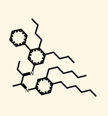 CCCCCCc1ccc(N=C(C)C(CC)=Nc2cc(CCCC)c(CCCC)c(-c3ccccc3)c2)cc1CCCCCC